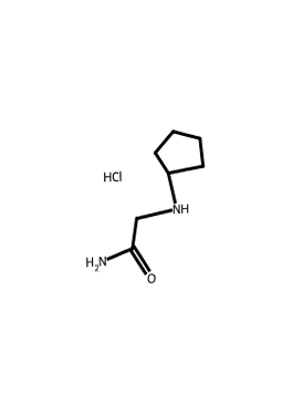 Cl.NC(=O)CNC1CCCC1